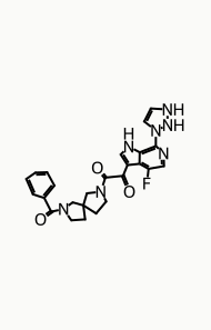 O=C(C(=O)N1CCC2(CCN(C(=O)c3ccccc3)C2)C1)c1c[nH]c2c(N3C=CNN3)ncc(F)c12